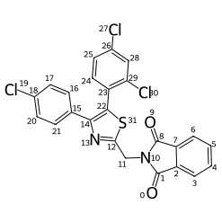 O=C1c2ccccc2C(=O)N1Cc1nc(-c2ccc(Cl)cc2)c(-c2ccc(Cl)cc2Cl)s1